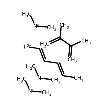 C=C(C)C(=C)C.CC=CC=[CH][Ti+3].C[N-]C.C[N-]C.C[N-]C